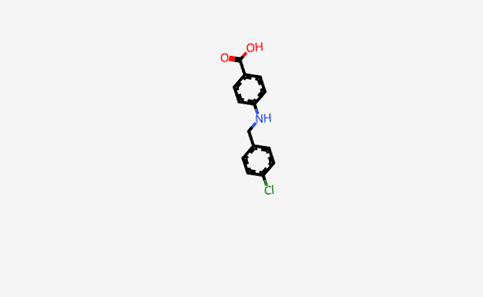 O=C(O)c1ccc(NCc2ccc(Cl)cc2)cc1